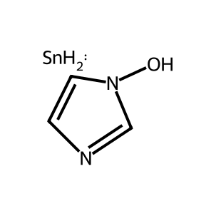 On1ccnc1.[SnH2]